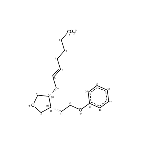 O=C(O)CCCC=CC[C@H]1COC[C@H]1CCOc1ccccc1